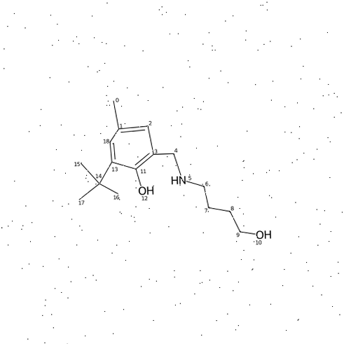 Cc1cc(CNCCCCO)c(O)c(C(C)(C)C)c1